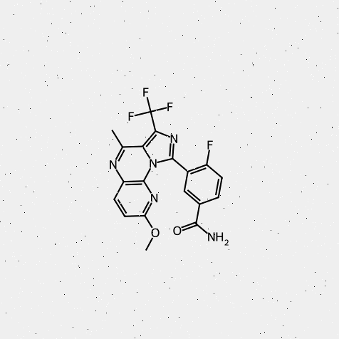 COc1ccc2nc(C)c3c(C(F)(F)F)nc(-c4cc(C(N)=O)ccc4F)n3c2n1